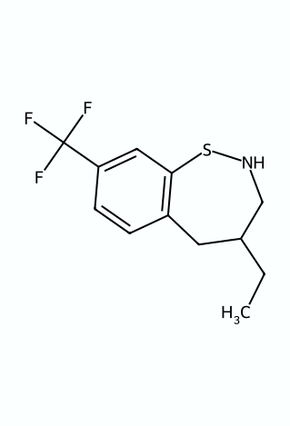 CCC1CNSc2cc(C(F)(F)F)ccc2C1